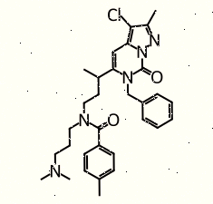 Cc1ccc(C(=O)N(CCCN(C)C)CCC(C)c2cc3c(Cl)c(C)nn3c(=O)n2Cc2ccccc2)cc1